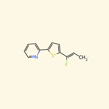 [CH2]/C=C(\F)c1ccc(-c2ccccn2)s1